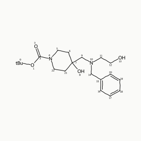 CC(C)(C)OC(=O)N1CCC(O)(CN(CCO)Cc2ccccc2)CC1